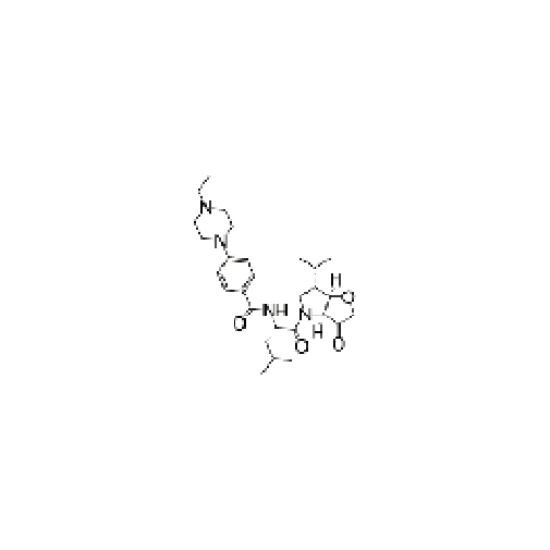 CCN1CCN(c2ccc(C(=O)N[C@@H](CC(C)C)C(=O)N3C[C@H](C(C)C)[C@H]4OCC(=O)[C@H]43)cc2)CC1